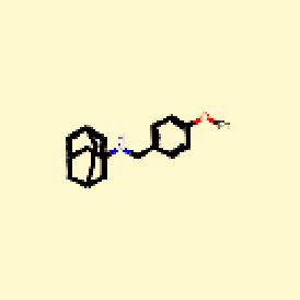 CCOc1ccc(CNC23CC4CC(CC(C4)C2)C3)cc1